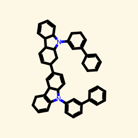 C1=CCCC(C2=CCCC(N3C4C=CC=CC4C4C=CC(C5=CC6C7=C(C=CCC7)N(c7cccc(-c8ccccc8)c7)C6C=C5)CC43)=C2)=C1